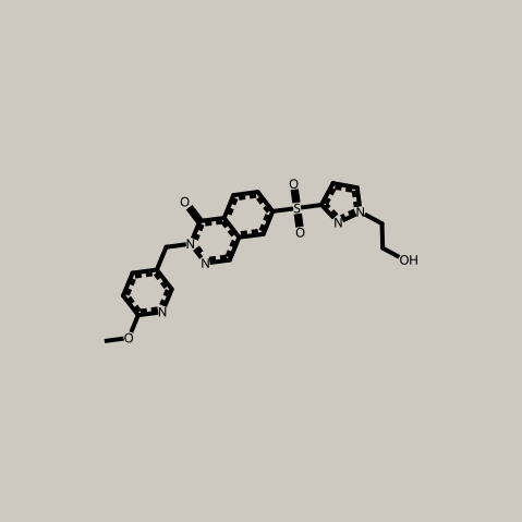 COc1ccc(Cn2ncc3cc(S(=O)(=O)c4ccn(CCO)n4)ccc3c2=O)cn1